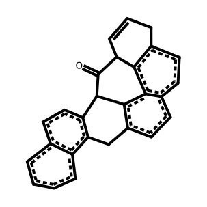 O=C1C2C=CCc3ccc4ccc5c(c4c32)C1c1ccc2ccccc2c1C5